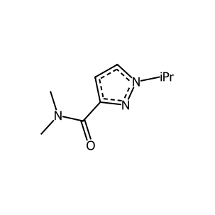 CC(C)n1ccc(C(=O)N(C)C)n1